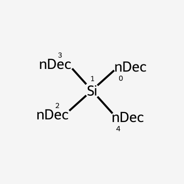 CCCCCCCCCC[Si](CCCCCCCCCC)(CCCCCCCCCC)CCCCCCCCCC